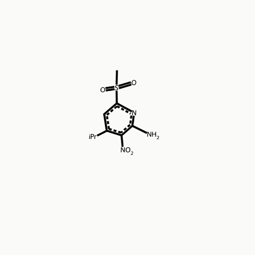 CC(C)c1cc(S(C)(=O)=O)nc(N)c1[N+](=O)[O-]